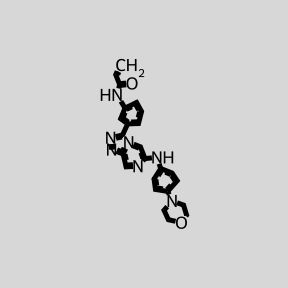 C=CC(=O)Nc1cccc(-c2nnc3cnc(Nc4ccc(N5CCOCC5)cc4)cn23)c1